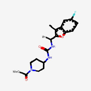 COC(=O)N1CCC(NC(=O)NC(c2oc3ccc(F)cc3c2C)C(C)C)CC1